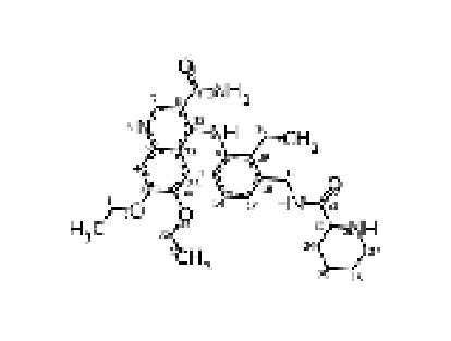 CCOc1cc2ncc(C(N)=O)c(Nc3cccc(CNC(=O)[C@@H]4CCCCN4)c3CC)c2cc1OCC